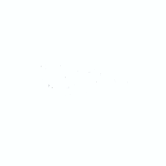 CCCC[C@](C)(CC)c1cscn1